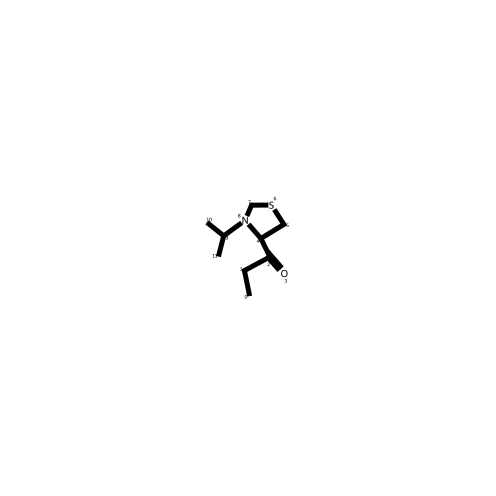 CCC(=O)C1CSCN1C(C)C